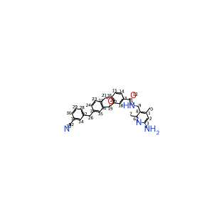 Cc1cc(N)nc(C)c1CNC(=O)c1ccc2c(c1)C1OC2c2ccc(Cc3cccc(C#N)c3)cc21